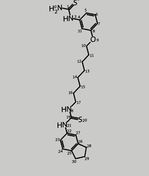 NC(=S)Nc1cccc(OCCCCCCCCNC(=S)Nc2ccc3c(c2)CCC3)c1